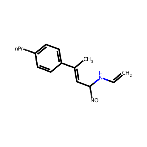 C=CNC(/C=C(\C)c1ccc(CCC)cc1)N=O